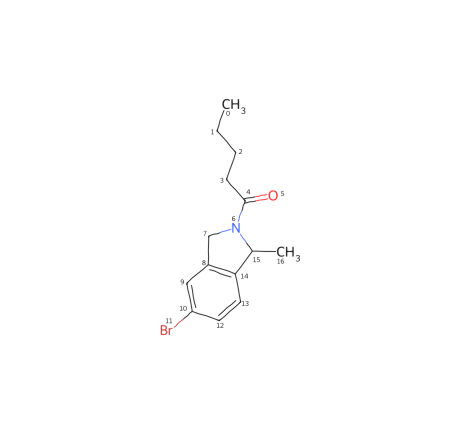 CCCCC(=O)N1Cc2cc(Br)ccc2C1C